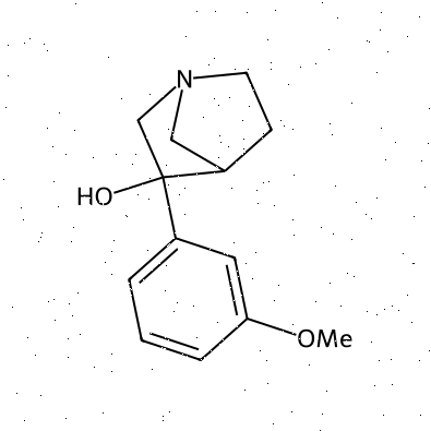 COc1cccc(C2(O)CN3CCC2C3)c1